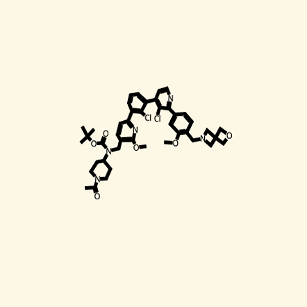 COc1cc(-c2nccc(-c3cccc(-c4ccc(CN(C(=O)OC(C)(C)C)C5CCN(C(C)=O)CC5)c(OC)n4)c3Cl)c2Cl)ccc1CN1CC2(COC2)C1